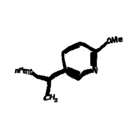 CCCCCC(C)c1ccc(OC)nc1